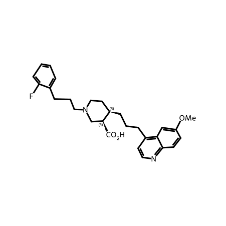 COc1ccc2nccc(CCC[C@@H]3CCN(CCCc4ccccc4F)C[C@@H]3C(=O)O)c2c1